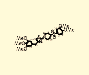 COc1ccc(S(=O)(=O)C2CCN(c3nc(Cc4cc(OC)c(OC)c(OC)c4)cs3)CC2)cc1OC